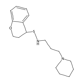 c1ccc2c(c1)OCCC2SNCCCN1CCCCC1